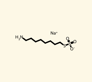 NCCCCCCCCSS(=O)(=O)[O-].[Na+]